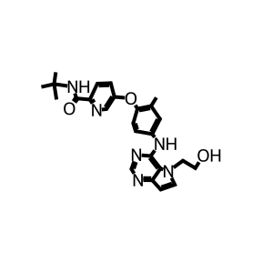 Cc1cc(Nc2ncnc3ccn(CCO)c23)ccc1Oc1ccc(C(=O)NC(C)(C)C)nc1